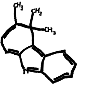 CC1=CC=C2N=c3ccccc3=C2C1(C)C